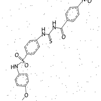 COc1ccc(NS(=O)(=O)c2ccc(NC(=S)NC(=O)c3ccc([N+](=O)[O-])cc3)cc2)cc1